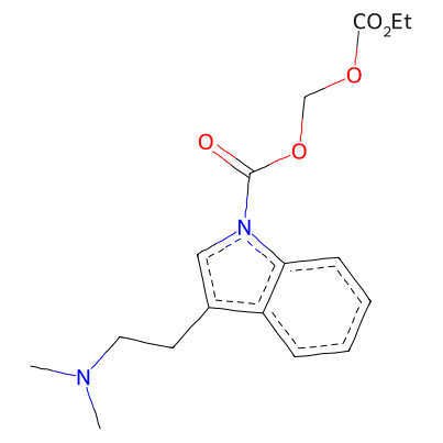 CCOC(=O)OCOC(=O)n1cc(CCN(C)C)c2ccccc21